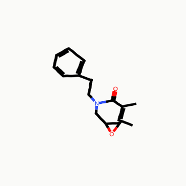 CC=C(C)C(=O)N(CCc1ccccc1)CC1CO1